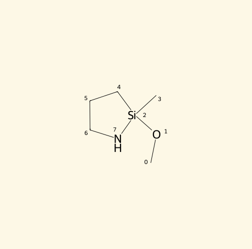 CO[Si]1(C)CCCN1